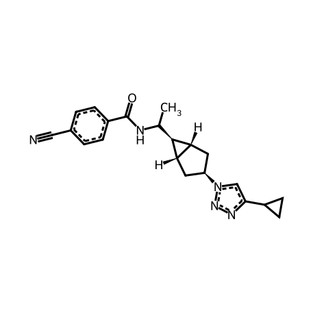 CC(NC(=O)c1ccc(C#N)cc1)[C@H]1[C@@H]2C[C@@H](n3cc(C4CC4)nn3)C[C@@H]21